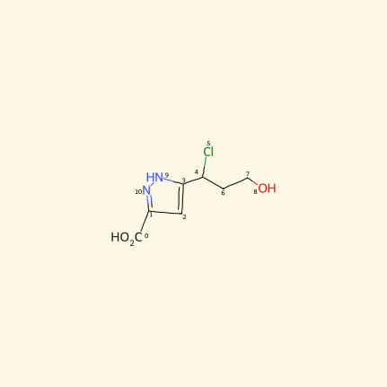 O=C(O)c1cc(C(Cl)CCO)[nH]n1